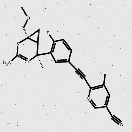 COC[C@]12CC1[C@@](C)(c1cc(C#Cc3ncc(C#N)cc3C)ccc1F)N=C(N)S2